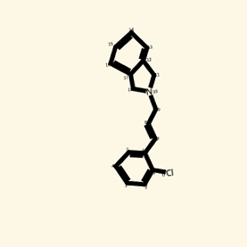 Clc1ccccc1C=CCN1Cc2ccccc2C1